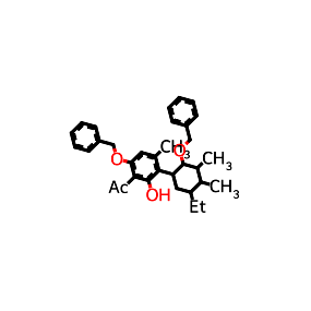 CCC1CC(c2c(C)cc(OCc3ccccc3)c(C(C)=O)c2O)C(OCc2ccccc2)C(C)C1C